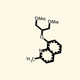 COCC(COC)Oc1cccc2ccc(C)nc12